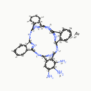 Nc1cc2c3nc4nc(nc5[nH]c(nc6nc(nc([nH]3)c2c(N)c1N)-c1ccccc1-6)c1ccccc51)-c1ccccc1-4.[Au]